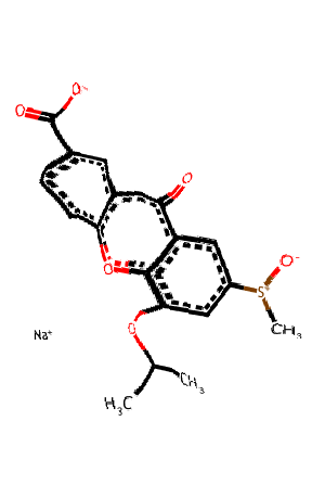 CC(C)Oc1cc([S+](C)[O-])cc2c(=O)c3cc(C(=O)[O-])ccc3oc12.[Na+]